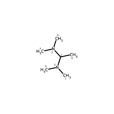 CC(N(C)C)N(C)C